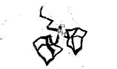 CCCC[PH](Cl)(C12CC3CC(CC(C3)C1)C2)C12CC3CC(CC(C3)C1)C2